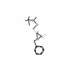 C[C@H]1[C@@H](CO[SiH](C)C(C)(C)C)N1Cc1ccccc1